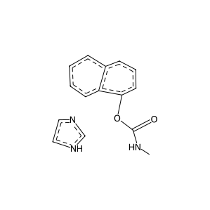 CNC(=O)Oc1cccc2ccccc12.c1c[nH]cn1